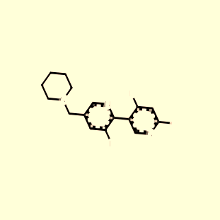 Fc1cc(Cl)ncc1-c1ncc(CN2CCCCC2)cc1F